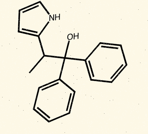 CC(c1ccc[nH]1)C(O)(c1ccccc1)c1ccccc1